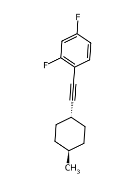 C[C@H]1CC[C@H](C#Cc2ccc(F)cc2F)CC1